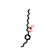 CCCCCCCCC1CC(c2ccc(CCCC)cc2)OC1=O